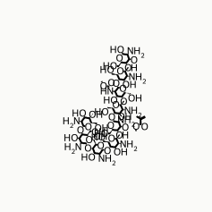 C=C(C)C(=O)OC.COC(=O)N[C@H]1[C@H](O[C@H]2[C@H](O)[C@@H](N)[C@H](O[C@H]3[C@H](O)[C@@H](N)[C@H](O)O[C@@H]3CO)O[C@@H]2CO)O[C@H](CO)[C@@H](O[C@@H]2O[C@H](CO)[C@@H](O[C@@H]3O[C@H](CO)[C@@H](O[C@@H]4O[C@H](CO)[C@@H](O[C@@H]5O[C@H](CO)[C@@H](O[C@@H]6O[C@H](CO)[C@@H](O[C@@H]7O[C@H](CO)[C@@H](O)[C@H](O)[C@H]7N)[C@H](O)[C@H]6N)[C@H](O)[C@H]5N)[C@H](O)[C@H]4N)[C@H](O)[C@H]3N)[C@H](O)[C@H]2N)[C@@H]1O